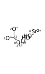 O=C([O-])[O-].[Li+].[Li+].[OH-].[OH-].[Sr+2]